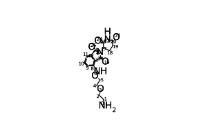 NCCOCCONc1cccc2c1C(=O)N(C1CCC(=O)NC1=O)C2=O